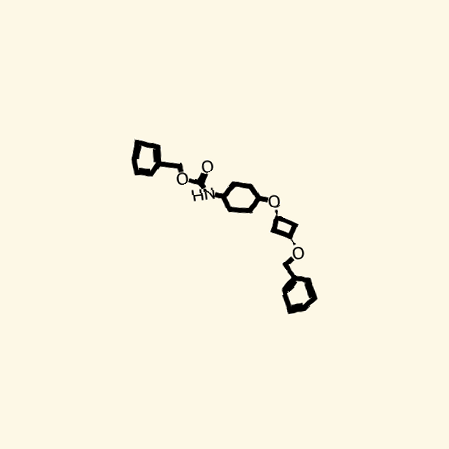 O=C(NC1CCC(O[C@H]2C[C@@H](OCc3ccccc3)C2)CC1)OCc1ccccc1